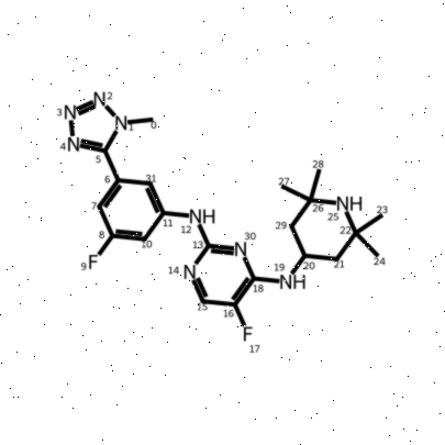 Cn1nnnc1-c1cc(F)cc(Nc2ncc(F)c(NC3CC(C)(C)NC(C)(C)C3)n2)c1